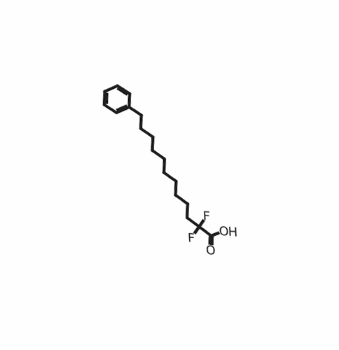 O=C(O)C(F)(F)CCCCCCCCCCc1ccccc1